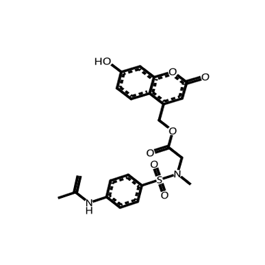 C=C(C)Nc1ccc(S(=O)(=O)N(C)CC(=O)OCc2cc(=O)oc3cc(O)ccc23)cc1